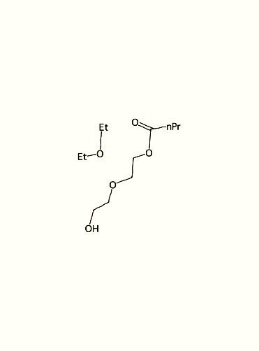 CCCC(=O)OCCOCCO.CCOCC